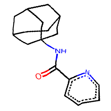 O=C(NC12C[C]3CC(CC(C3)C1)C2)c1ccccn1